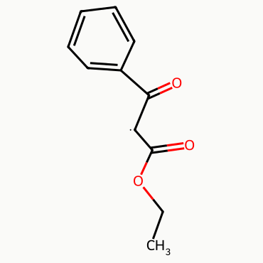 CCOC(=O)[CH]C(=O)c1ccccc1